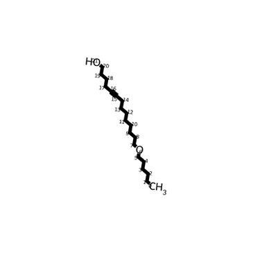 CCCCCCOCCCCCCCCC#CCCCCO